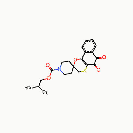 CCCCC(CC)COC(=O)N1CCC2(CC1)CSC1=C(O2)c2ccccc2C(=O)C1=O